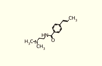 C/C=C/c1ccc(C(=O)NCCN(C)C)cc1